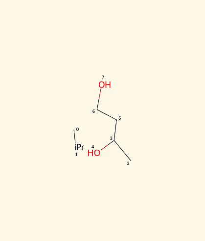 CC(C)C.CC(O)CCO